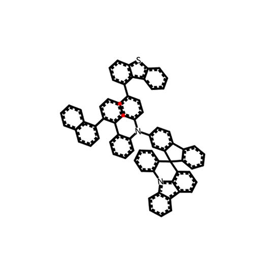 c1ccc(-c2cccc3ccccc23)c(-c2ccccc2N(c2ccc(-c3cccc4sc5ccccc5c34)cc2)c2ccc3c(c2)C2(c4ccccc4-3)c3ccccc3-n3c4ccccc4c4cccc2c43)c1